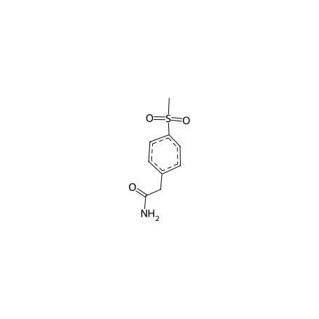 CS(=O)(=O)c1ccc(CC(N)=O)cc1